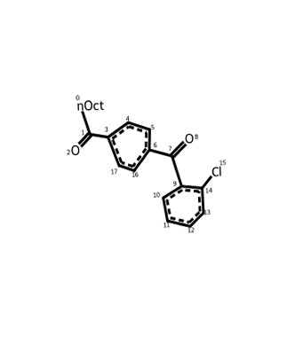 CCCCCCCCC(=O)c1ccc(C(=O)c2ccccc2Cl)cc1